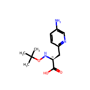 CC(C)(C)ON[C@@H](Cc1ccc(N)cn1)C(=O)O